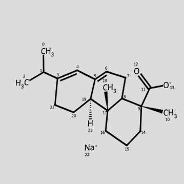 CC(C)C1=CC2=CCC3[C@](C)(C(=O)[O-])CCC[C@]3(C)[C@H]2CC1.[Na+]